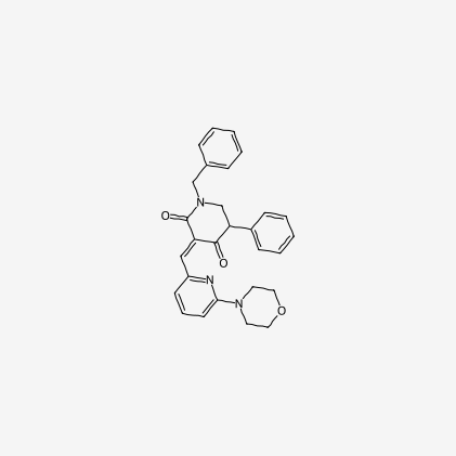 O=C1/C(=C\c2cccc(N3CCOCC3)n2)C(=O)N(Cc2ccccc2)CC1c1ccccc1